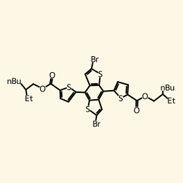 CCCCC(CC)COC(=O)c1ccc(-c2c3cc(Br)sc3c(-c3ccc(C(=O)OCC(CC)CCCC)s3)c3cc(Br)sc23)s1